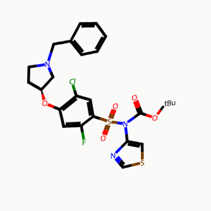 CC(C)(C)OC(=O)N(c1cscn1)S(=O)(=O)c1cc(Cl)c(O[C@H]2CCN(Cc3ccccc3)C2)cc1F